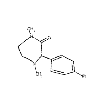 CC(C)c1ccc(C2C(=O)N(C)CCN2C)cc1